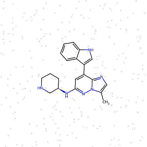 Cc1cnc2c(-c3c[nH]c4ccccc34)cc(N[C@@H]3CCCNC3)nn12